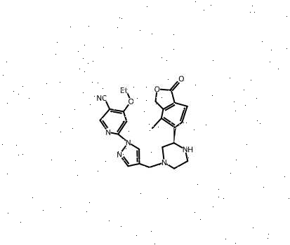 CCOc1cc(-n2cc(CN3CCN[C@H](c4ccc5c(c4C)COC5=O)C3)cn2)ncc1C#N